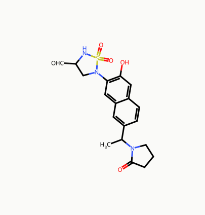 CC(c1ccc2cc(O)c(N3CC(C=O)NS3(=O)=O)cc2c1)N1CCCC1=O